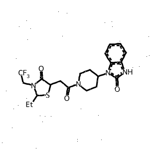 CCC1SC(CC(=O)N2CCC(n3c(=O)[nH]c4ccccc43)CC2)C(=O)N1CC(F)(F)F